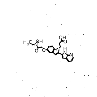 CCN(O)C(=O)COc1ccc2c(c1)cc(-c1cc3cccnc3[nH]1)n2CCC(=O)O